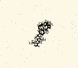 CCC(C(=O)[C@@H](C)[C@@H](O)[C@H](C)[C@@H]1O[C@@H]([C@@H](CC)C(=O)O)CC[C@@H]1C)[C@H]1O[C@]2(C=C[C@@H](NC(=O)C3CCC3)[C@]3(CC[C@@](C)([C@H]4CC[C@](O)(CC)[C@H](C)O4)O3)O2)[C@H](C)C[C@@H]1C